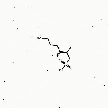 CC(CS(=O)(=O)C(C)(C)C)C(=O)CCC[C]=O